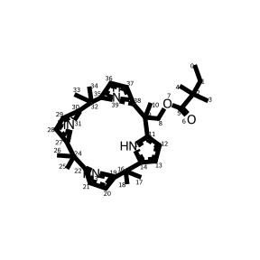 CCC(C)(C)C(=O)OCC1(C)c2ccc([nH]2)C(C)(C)c2ccc([nH]2)C(C)(C)c2ccc([nH]2)C(C)(C)c2ccc1[nH]2